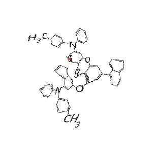 Cc1ccc(N(c2ccccc2)c2cc3c(c4ccccc24)B2c4c(cc(-c5cccc6ccccc56)cc4Oc4cc(N(c5ccccc5)c5ccc(C)cc5)c5ccccc5c42)O3)cc1